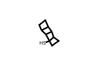 SC12CCC1C1C3CCC3C12